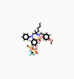 CCCCC1(C)CN(c2ccccc2)c2cc(SC)c(OS(=O)(=O)C(F)(F)F)cc2S(=O)(=O)N1Cc1ccc(OC)cc1